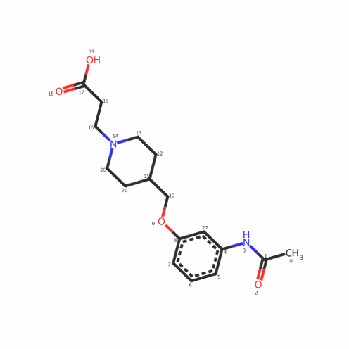 CC(=O)Nc1cccc(OCC2CCN(CCC(=O)O)CC2)c1